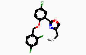 O=C(O)Cc1coc(-c2cc(Cl)ccc2OCc2ccc(F)cc2F)n1